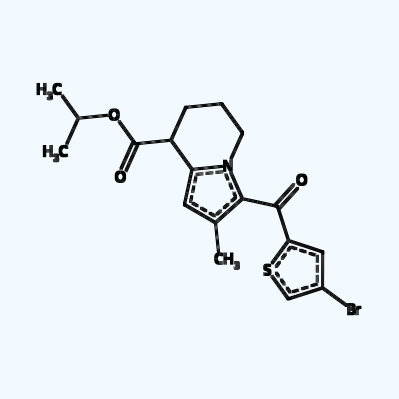 Cc1cc2n(c1C(=O)c1cc(Br)cs1)CCCC2C(=O)OC(C)C